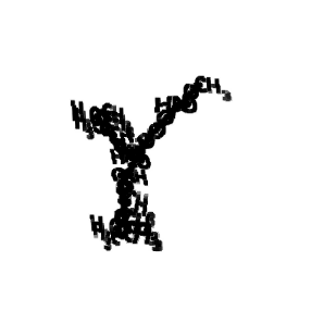 CCCOCCC(=O)NCCCOCCOCCOCCCNC(=O)[C@@H](CCCCNC(=O)c1ccc(/C=C(\C)c2ccc3c(c2)C(C)(C)CCC3(C)C)cc1)NC(=O)c1ccc(/C=C(\C)c2ccc3c(c2)C(C)(C)CCC3(C)C)cc1